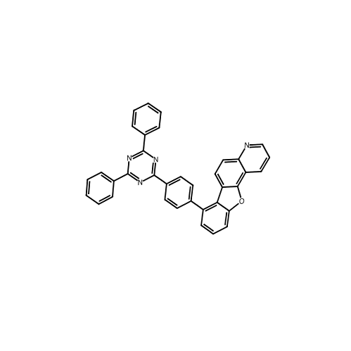 c1ccc(-c2nc(-c3ccccc3)nc(-c3ccc(-c4cccc5oc6c7cccnc7ccc6c45)cc3)n2)cc1